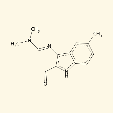 Cc1ccc2[nH]c(C=O)c(N=CN(C)C)c2c1